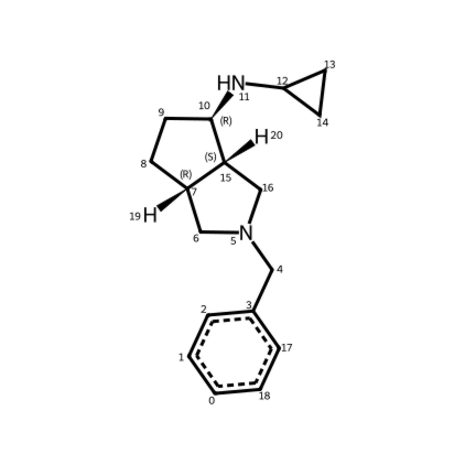 c1ccc(CN2C[C@@H]3CC[C@@H](NC4CC4)[C@@H]3C2)cc1